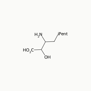 CCCC(C)CC(N)C(O)C(=O)O